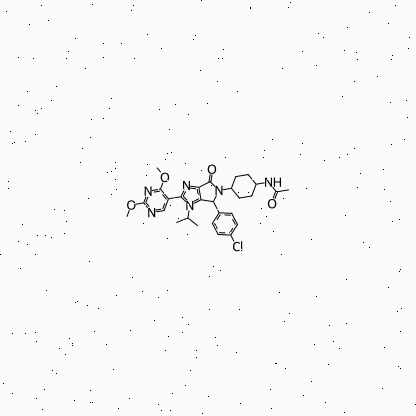 COc1ncc(-c2nc3c(n2C(C)C)C(c2ccc(Cl)cc2)N(C2CCC(NC(C)=O)CC2)C3=O)c(OC)n1